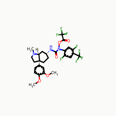 COc1ccc([C@@]23CC[C@@H](NC(=O)N(OC(=O)C(F)(F)F)c4cc(F)c(C(F)(F)F)cc4F)C[C@@H]2N(C)CC3)cc1OC